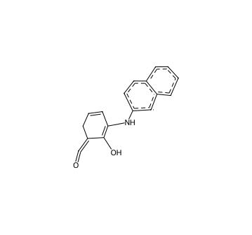 O=C=C1CC=CC(Nc2[c]c3ccccc3cc2)=C1O